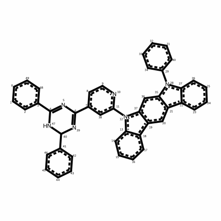 c1ccc(C2=NC(c3ccnc(-n4c5ccccc5c5cc6c7ccccc7n(-c7ccccc7)c6cc54)c3)=NC(c3ccccc3)N2)cc1